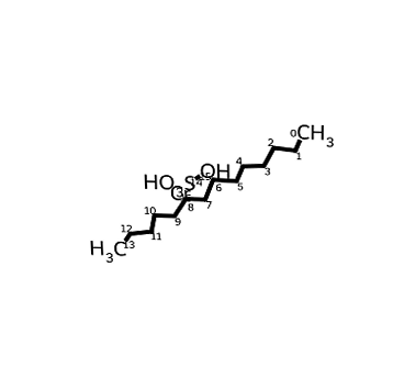 CCCCCCCCCCCCCC.O=S(=O)(O)O.[Cr]